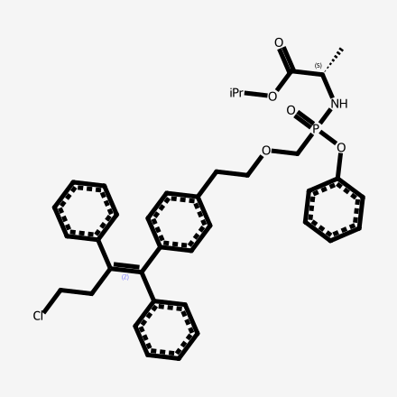 CC(C)OC(=O)[C@H](C)NP(=O)(COCCc1ccc(/C(=C(/CCCl)c2ccccc2)c2ccccc2)cc1)Oc1ccccc1